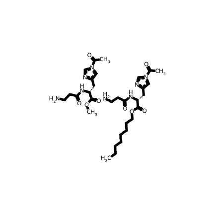 CCCCCCCCOC(=O)[C@@H](Cc1cn(C(C)=O)cn1)NC(=O)CCN.COC(=O)[C@@H](Cc1cn(C(C)=O)cn1)NC(=O)CCN